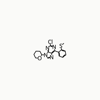 CSc1ccccc1-c1nc(Cl)nc2c1ncn2C1CCCCO1